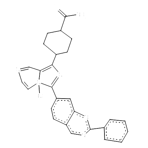 NC(=O)C1CCC(C2=C3C=NC=C[N+]3(N)C(c3ccc4cnc(-c5ccccc5)nc4c3)=N2)CC1